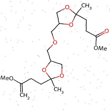 C=C(CCC1(C)OCC(COCC2COC(C)(CCC(=O)OC)O2)O1)OC